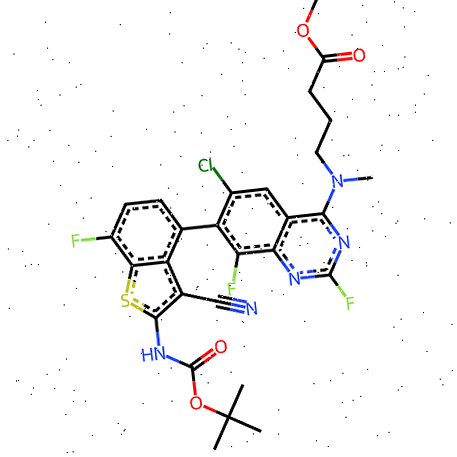 COC(=O)CCCN(C)c1nc(F)nc2c(F)c(-c3ccc(F)c4sc(NC(=O)OC(C)(C)C)c(C#N)c34)c(Cl)cc12